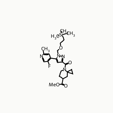 COC(=O)C1CCN(C(=O)c2cc(-c3cc(C)ncc3F)n(COCC[Si](C)(C)C)n2)C2(CC2)C1